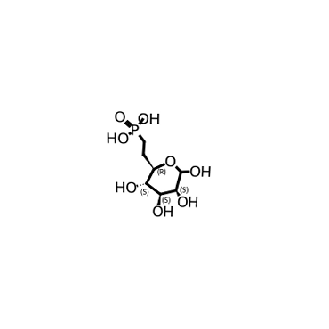 O=P(O)(O)CC[C@H]1OC(O)[C@@H](O)[C@@H](O)[C@@H]1O